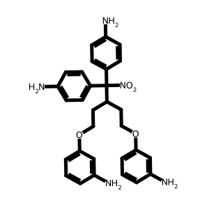 Nc1ccc(C(c2ccc(N)cc2)(C(CCOc2cccc(N)c2)CCOc2cccc(N)c2)[N+](=O)[O-])cc1